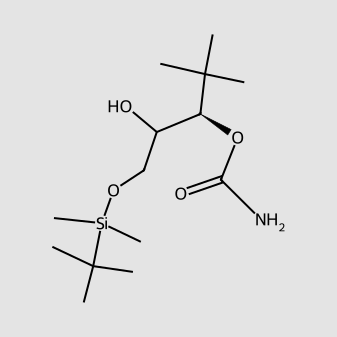 CC(C)(C)[C@@H](OC(N)=O)C(O)CO[Si](C)(C)C(C)(C)C